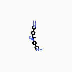 Cc1c(-c2ccc(C3=CCNCC3)cc2)nnn1-c1ccc(C2=CCNCC2)cc1